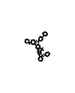 CC1(c2ccc3c(c2)c2cc4c(cc2n3-c2ccc(-c3ccccc3)cc2)C(C)(C)c2c3c(cn2-4)c2ccccc2n3-c2ccccc2)C=CC=CC1